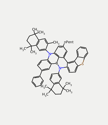 CCCCCc1cc2c3c(c1)N(c1cc4c(cc1C)C(C)(C)CCC4(C)C)c1ccc(-c4ccccc4)cc1B3N(c1ccc3c(c1)C(C)(C)CCC3(C)C)c1ccc3sc4ccccc4c3c1-2